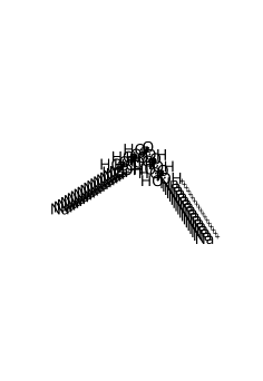 O=P(O)(O)O.O=P(O)(O)O.O=P(O)(O)O.O=P(O)(O)O.O=P(O)(O)O.[Na+].[Na+].[Na+].[Na+].[Na+].[Na+].[Na+].[Na+].[Na+].[Na+].[Na+].[Na+].[Na+].[Na+].[Na+].[Na+].[Na+].[Na+].[Na+].[Na+].[Na+].[Na+].[Na+].[Na+].[Na+].[Na+].[Na+].[Na+].[Na+].[Na+].[Na+].[Na+].[Na+].[Na+].[Na+].[Na+].[Na+]